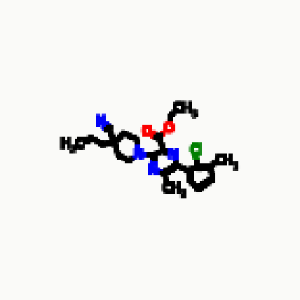 C=CCC1(C#N)CCN(c2nc(C)c(-c3cccc(C)c3Cl)nc2C(=O)OCC)CC1